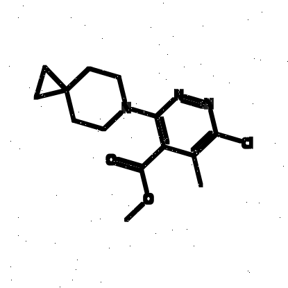 COC(=O)c1c(N2CCC3(CC2)CC3)nnc(Cl)c1C